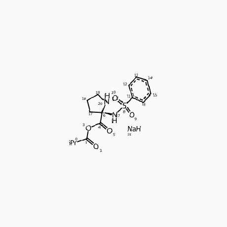 CC(C)C(=O)OC(=O)[C@]1(NS(=O)(=O)c2ccccc2)CCCN1.[NaH]